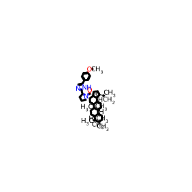 C=C(C)[C@@H]1CC[C@]2(C(=O)N3CCCC3c3ncc(-c4ccc(OC)cc4)[nH]3)CC[C@]3(C)[C@H](CC[C@@H]4[C@@]5(C)CC[C@H](C)C(C)(C)[C@@H]5CC[C@]43C)[C@@H]12